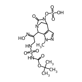 Cn1ncc2c1C(/C(CNS(=O)(=O)NC(=O)OC(C)(C)C)=N/O)N1CC2N(OS(=O)(=O)O)C1=O